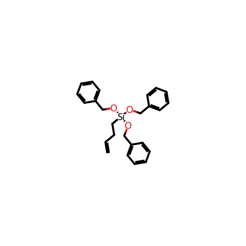 C=CCC[Si](OCc1ccccc1)(OCc1ccccc1)OCc1ccccc1